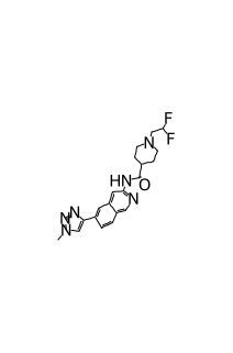 Cn1cc(-c2ccc3cnc(NC(=O)C4CCN(CC(F)F)CC4)cc3c2)nn1